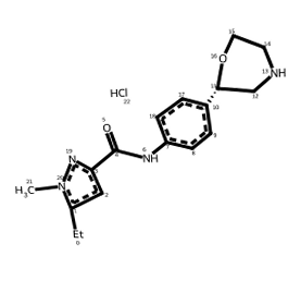 CCc1cc(C(=O)Nc2ccc([C@H]3CNCCO3)cc2)nn1C.Cl